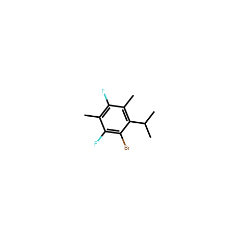 Cc1c(F)c(C)c(C(C)C)c(Br)c1F